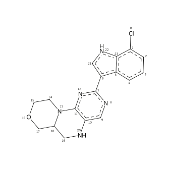 Clc1cccc2c(-c3ncc4c(n3)N3CCOCC3CN4)c[nH]c12